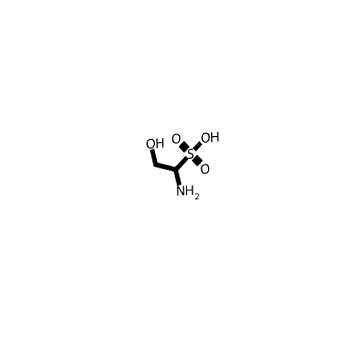 NC(CO)S(=O)(=O)O